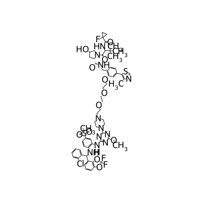 COc1nc(Nc2cc(S(C)(=O)=O)ccc2NC(c2ccccc2Cl)c2cccc3c2OC(F)(F)O3)nc(N2CCN(CCOCCOCCOc3cc(-c4scnc4C)ccc3CNC(=O)[C@@H]3C[C@@H](O)CN3C(=O)[C@@H](NC(=O)C3(F)CC3)C(C)(C)C)CC2)n1